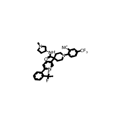 CN1CC[C@@H](NC(=O)C2(c3ccc(-c4ccccc4C(C)(F)F)nc3)CCN(c3ccc(C(F)(F)F)cc3C#N)CC2)C1